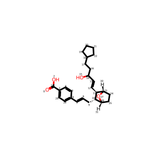 O=C(O)c1ccc(C=CC[C@@H]2[C@@H](C=CC(O)CCC3CCCC3)[C@@H]3CC[C@H]2O3)cc1